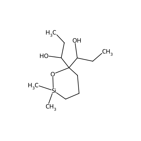 CCC(O)C1(C(O)CC)CCC[Si](C)(C)O1